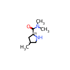 C[C]1CN[C@H](C(=O)N(C)C)C1